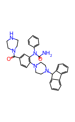 NC(=O)N(c1ccccc1)c1cc(C(=O)N2CCNCC2)ccc1N1CCN(C2c3ccccc3-c3ccccc32)CC1